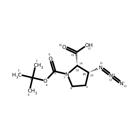 CC(C)(C)OC(=O)N1CC[C@@H](N=[N+]=[N-])[C@H]1C(=O)O